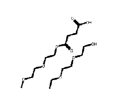 CCOCCOCCO.COCCOCCOC(=O)CCC(=O)O